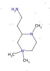 CN1CC[N+](C)(C)CC1CCN